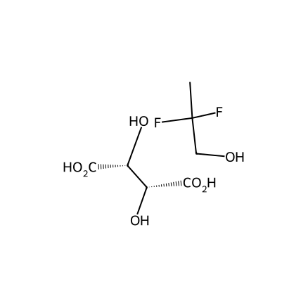 CC(F)(F)CO.O=C(O)[C@H](O)[C@@H](O)C(=O)O